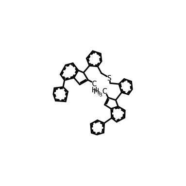 CC1=Cc2c(-c3ccccc3)cccc2C1c1ccccc1CSCc1ccccc1C1C(C)=Cc2c(-c3ccccc3)cccc21